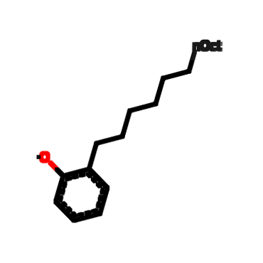 CCCCCCCCCCCCCCc1ccccc1[O]